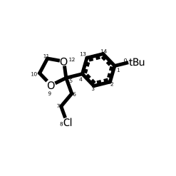 CC(C)(C)c1ccc(C2(CCCl)OCCO2)cc1